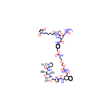 CCCO[C@H](C[C@H](C(C)C)N(CCC)C(=O)[C@@H](NC(=O)[C@H]1CCCCN1C)[C@@H](C)CC)c1nc(C(=O)N[C@H]2Cc3ccccc3[C@H](C(=O)NNC(=O)OCCOCCNC(=O)OCc3ccc(NC(=O)[C@H](CCCNC(N)=O)NC(=O)C(NC(=O)CCCCCN4C(=O)C=CC4=O)C(C)C)cc3)C2)cs1